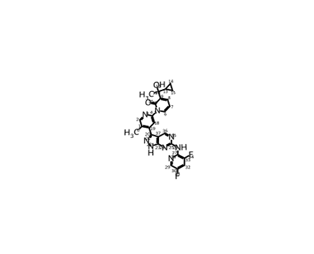 Cc1cnc(-n2cccc([C@](C)(O)C3CC3)c2=O)cc1-c1n[nH]c2nc(Nc3ncc(F)cc3F)ncc12